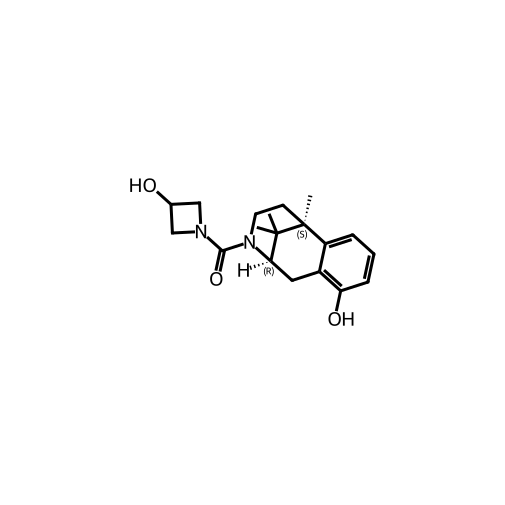 CC1(C)[C@H]2Cc3c(O)cccc3[C@]1(C)CCN2C(=O)N1CC(O)C1